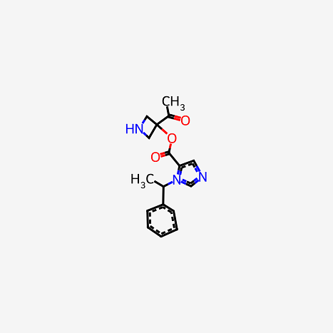 CC(=O)C1(OC(=O)c2cncn2C(C)c2ccccc2)CNC1